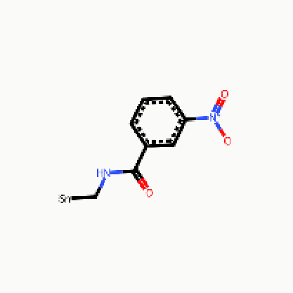 O=C(N[CH2][Sn])c1cccc([N+](=O)[O-])c1